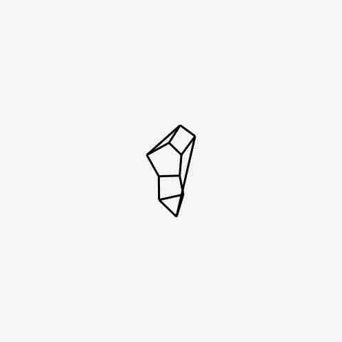 C12C3C1C1C4C5C4C3C2C51